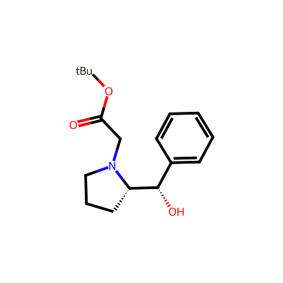 CC(C)(C)OC(=O)CN1CCC[C@H]1[C@@H](O)c1ccccc1